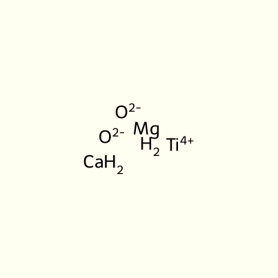 [CaH2].[MgH2].[O-2].[O-2].[Ti+4]